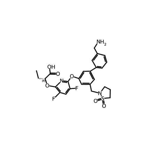 CC[C@@H](Oc1nc(Oc2cc(CN3CCCS3(=O)=O)cc(-c3cccc(CN)c3)c2)c(F)cc1F)C(=O)O